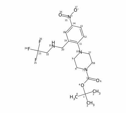 CC(C)(C)OC(=O)N1CCN(c2ccc([N+](=O)[O-])cc2CNCC(F)(F)F)CC1